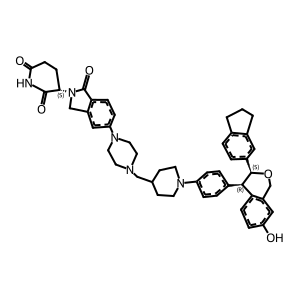 O=C1CC[C@H](N2Cc3cc(N4CCN(CC5CCN(c6ccc([C@@H]7c8ccc(O)cc8CO[C@@H]7c7ccc8c(c7)CCC8)cc6)CC5)CC4)ccc3C2=O)C(=O)N1